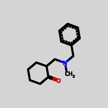 CN(Cc1ccccc1)CC1CCCCC1=O